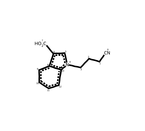 N#CCCCn1cc(C(=O)O)c2ccccc21